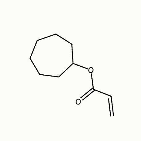 C=CC(=O)OC1CCCCCC1